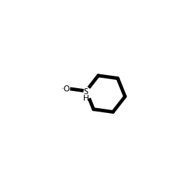 [O][SH]1CCCCC1